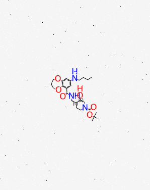 CCCCNc1cc2c(c(C(=O)NC[C@@H]3CCN(C(=O)OC(C)(C)C)C[C@H]3O)c1)OCCCO2